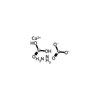 N.N.O=[Si](O)O.O=[Si]([O-])[O-].[Ca+2]